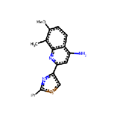 COc1ccc2c(N)cc(-c3csc(C(C)C)n3)nc2c1C